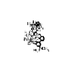 COc1c(CN2O[C@@H](CN)[C@H]([C@H](C)O)[C@H]2C(=O)NC2C[C@H]3C[C@@H]([C@@H]2C)C3(C)C)cccc1-c1cc(CNC(=O)NC(C)C)cc(N(C)C)c1